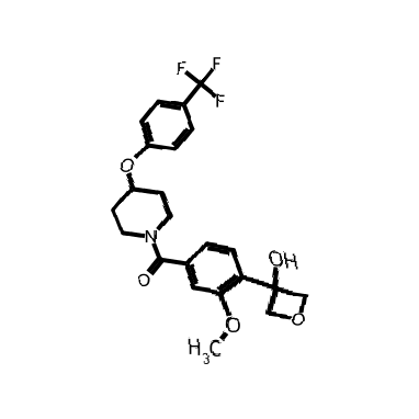 COc1cc(C(=O)N2CCC(Oc3ccc(C(F)(F)F)cc3)CC2)ccc1C1(O)COC1